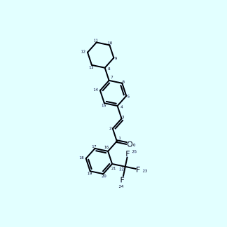 O=C(C=Cc1ccc(C2CCCCC2)cc1)c1ccccc1C(F)(F)F